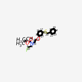 CC(C)(C)OC(=O)N(CCF)CCOc1cccc(SCc2ccccc2)c1